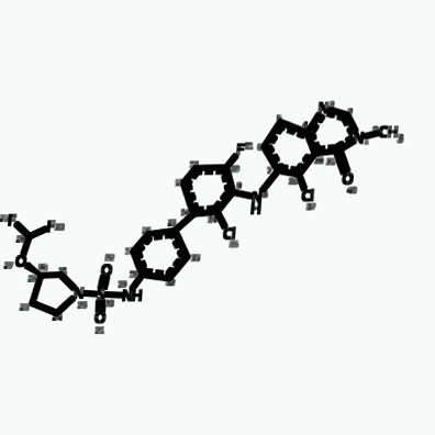 Cn1cnc2ccc(Nc3c(F)ccc(-c4ccc(NS(=O)(=O)N5CC[C@@H](OC(F)F)C5)cc4)c3Cl)c(Cl)c2c1=O